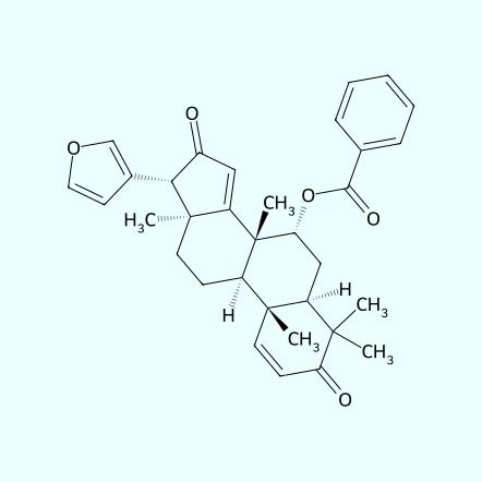 CC1(C)C(=O)C=C[C@]2(C)[C@H]3CC[C@]4(C)C(=CC(=O)[C@H]4c4ccoc4)[C@]3(C)[C@H](OC(=O)c3ccccc3)C[C@@H]12